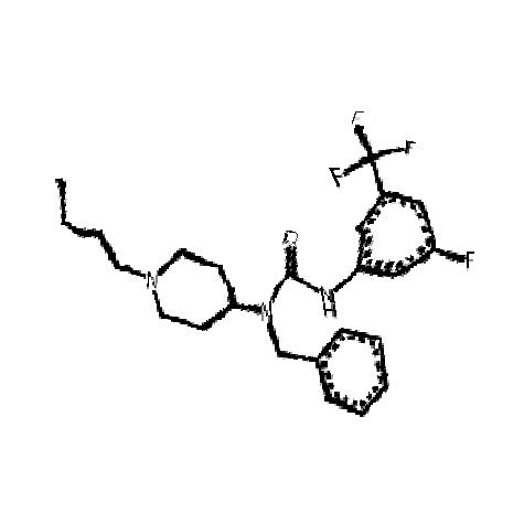 CCCCN1CCC(N(Cc2ccccc2)C(=O)Nc2cc(F)cc(C(F)(F)F)c2)CC1